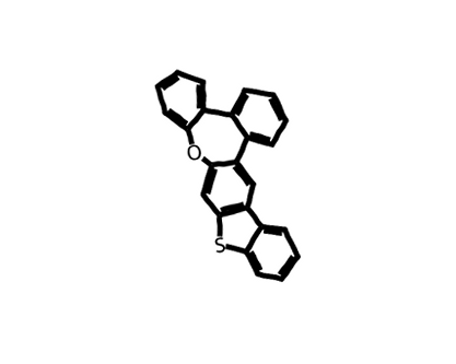 c1ccc2c(c1)Oc1cc3sc4ccccc4c3cc1-c1ccccc1-2